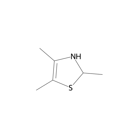 CC1=C(C)SC(C)N1